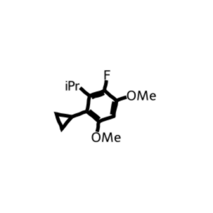 COc1cc(OC)c(C2CC2)c(C(C)C)c1F